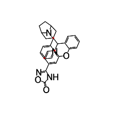 O=c1[nH]c(-c2ccc3c(c2)Oc2ccccc2C3C2CC3CCC(C2)N3Cc2ccccn2)no1